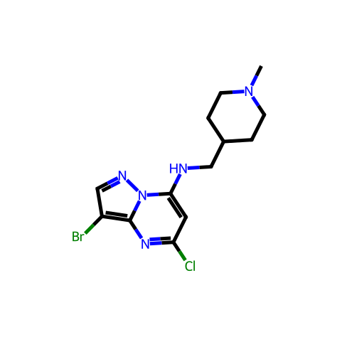 CN1CCC(CNc2cc(Cl)nc3c(Br)cnn23)CC1